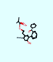 C=C(C)C(=O)OCCc1cc(-c2ccccc2C(=O)c2ccccc2)c(O)cc1OC